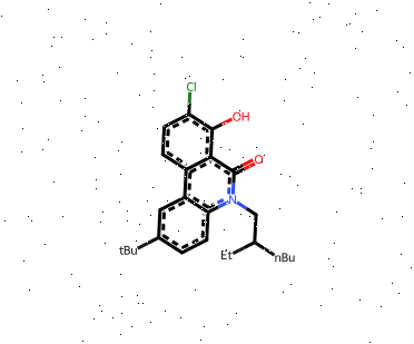 CCCCC(CC)Cn1c(=O)c2c(O)c(Cl)ccc2c2cc(C(C)(C)C)ccc21